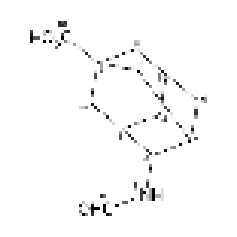 O=CNC1C2CC3CC1CC(C(=O)O)(C3)C2